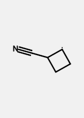 N#CC1[CH]CC1